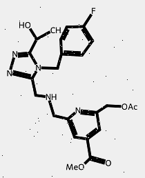 COC(=O)c1cc(CNCc2nnc(C(C)O)n2Cc2ccc(F)cc2)nc(COC(C)=O)c1